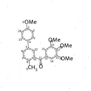 COc1ccc(-c2ccc(C)c(C(=O)c3cc(OC)c(OC)c(OC)c3)c2)cc1